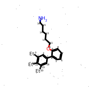 CCc1cc(-c2ccccc2OCCCCCCN)cc(CC)c1CC